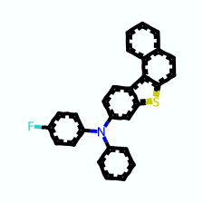 Fc1ccc(N(c2ccccc2)c2ccc3c(c2)sc2ccc4ccccc4c23)cc1